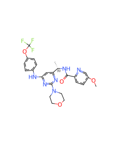 COc1ccc(C(=O)N[C@@H](C)c2cc(Nc3ccc(OC(F)(F)F)cc3)nc(N3CCOCC3)n2)nc1